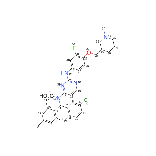 Cc1cc(C)c(C(c2cc(Cl)ccc2C)N(C(=O)O)c2ccnc(Nc3ccc(OCC4CCCN(C)C4)c(F)c3)n2)c(C)c1